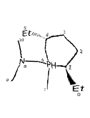 CC[C@@H]1CC[C@@H](CC)[PH]1(C)N(C)C